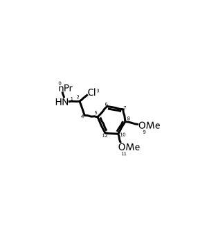 CCCNC(Cl)Cc1ccc(OC)c(OC)c1